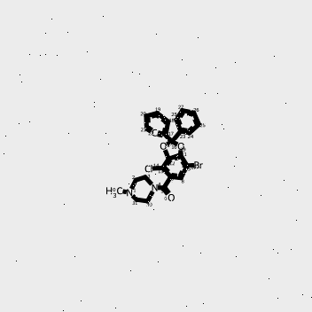 CN1CCN(C(=O)c2cc(Br)c3c(c2Cl)OC(c2ccccc2)(c2ccccc2)O3)CC1